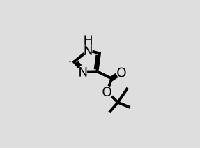 CC(C)(C)OC(=O)c1c[nH][c]n1